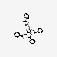 O=C(OC[C@H]1SC(CNOC(=O)c2ccccc2)[C@H](OC(=O)c2ccccc2)[C@H]1OC(=O)c1ccccc1)c1ccccc1